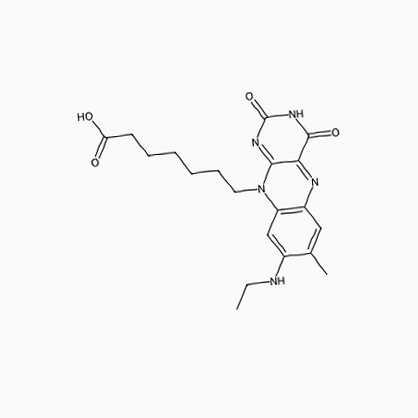 CCNc1cc2c(cc1C)nc1c(=O)[nH]c(=O)nc-1n2CCCCCCC(=O)O